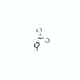 NCc1ccc(Nc2cc(N3CCCCC3)nc(N3CCNCC3)n2)cc1